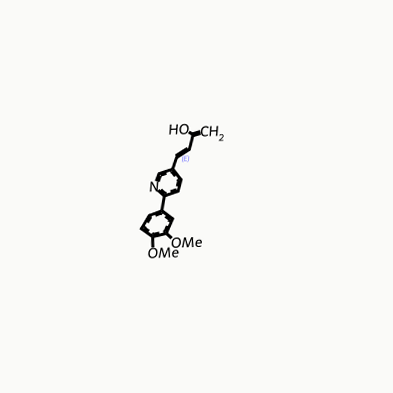 C=C(O)/C=C/c1ccc(-c2ccc(OC)c(OC)c2)nc1